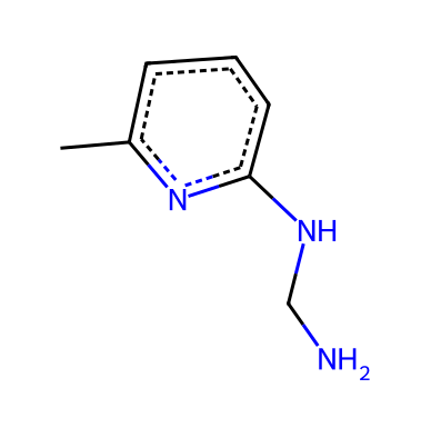 Cc1cccc(NCN)n1